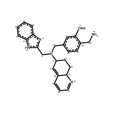 COc1cc(CN(Cc2nc3ccccc3[nH]2)C2C=C3C=CC=NC3CC2)ccc1CN